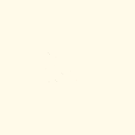 NC(=O)c1ccnn1-c1ccccc1